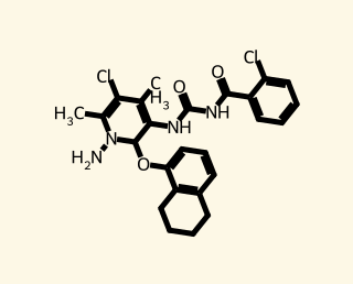 CC1=C(NC(=O)NC(=O)c2ccccc2Cl)C(Oc2cccc3c2CCCC3)N(N)C(C)=C1Cl